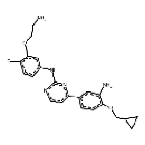 NCCOc1cc(Nc2nccc(-c3ccc(OCC4CC4)c(N)c3)n2)ccc1F